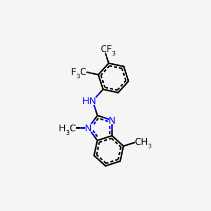 Cc1cccc2c1nc(Nc1cccc(C(F)(F)F)c1C(F)(F)F)n2C